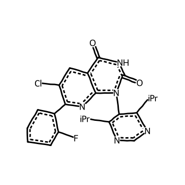 CC(C)c1ncnc(C(C)C)c1-n1c(=O)[nH]c(=O)c2cc(Cl)c(-c3ccccc3F)nc21